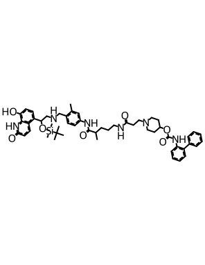 Cc1cc(NC(=O)C(C)CCCNC(=O)CCN2CCC(OC(=O)Nc3ccccc3-c3ccccc3)CC2)ccc1CNCC(O[Si](C)(C)C(C)(C)C)c1ccc(O)c2[nH]c(=O)ccc12